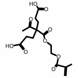 C=C(C)C(=O)OCCOC(=O)C(CCC(=O)O)(CCC(=O)O)C(C)=O